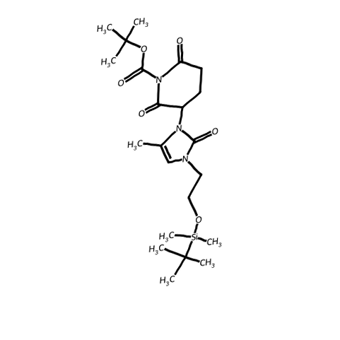 Cc1cn(CCO[Si](C)(C)C(C)(C)C)c(=O)n1C1CCC(=O)N(C(=O)OC(C)(C)C)C1=O